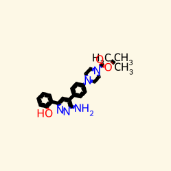 CC(C)(C)OC(=O)N1CCN(c2ccc(-c3cc(-c4ccccc4O)nnc3N)cc2)CC1